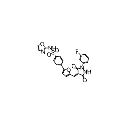 O=C1NN(c2cccc(F)c2)C(=O)/C1=C\c1ccc(-c2ccc(S(=O)(=O)Nc3ncco3)cc2)o1